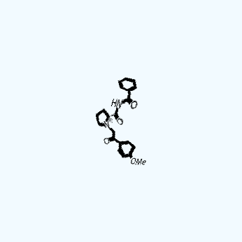 COc1ccc(C(=O)CN2CCC[C@@H]2C(=O)NC(=O)c2ccccc2)cc1